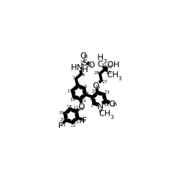 Cn1cc(-c2cc(CCN[SH](=O)=O)ccc2Oc2ccc(F)cc2F)c(OCCC(C)(C)O)cc1=O